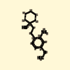 COc1ccc(CCC2(O)CCCCC2)c(N)c1